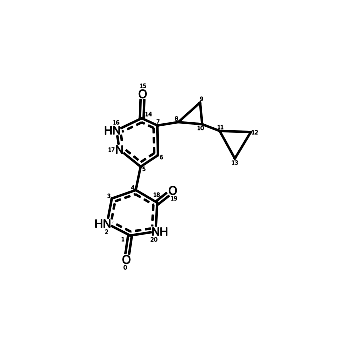 O=c1[nH]cc(-c2cc(C3CC3C3CC3)c(=O)[nH]n2)c(=O)[nH]1